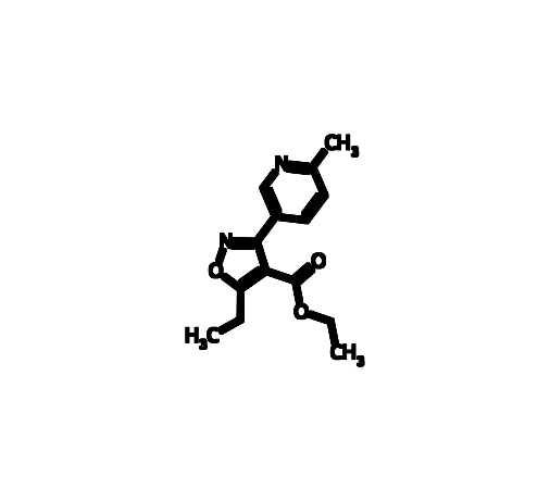 CCOC(=O)c1c(-c2ccc(C)nc2)noc1CC